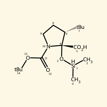 C[SiH](C)O[C@@]1(C(=O)O)[C@@H](C(C)(C)C)CCN1C(=O)OC(C)(C)C